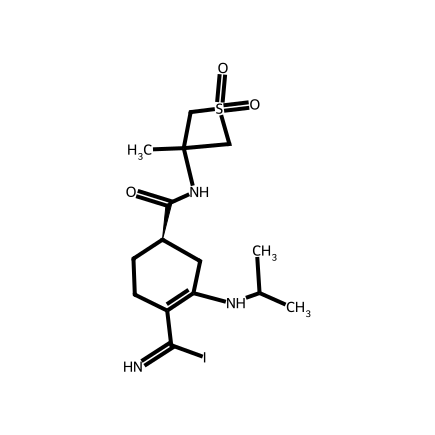 CC(C)NC1=C(C(=N)I)CC[C@@H](C(=O)NC2(C)CS(=O)(=O)C2)C1